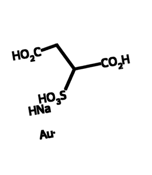 O=C(O)CC(C(=O)O)S(=O)(=O)O.[Au].[NaH]